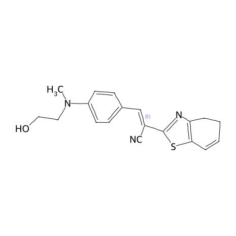 CN(CCO)c1ccc(/C=C(\C#N)c2nc3c(s2)C=CCC3)cc1